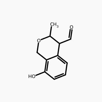 CC1OCc2c(O)cccc2C1C=O